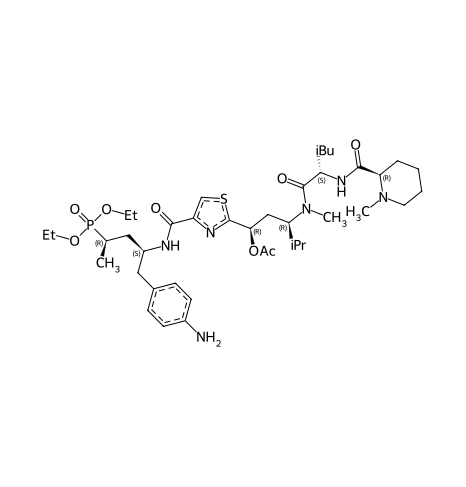 CCOP(=O)(OCC)[C@H](C)C[C@H](Cc1ccc(N)cc1)NC(=O)c1csc([C@@H](C[C@H](C(C)C)N(C)C(=O)[C@@H](NC(=O)[C@H]2CCCCN2C)C(C)CC)OC(C)=O)n1